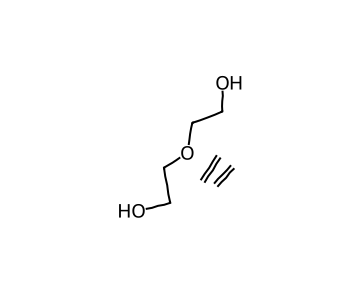 C=C.C=C.OCCOCCO